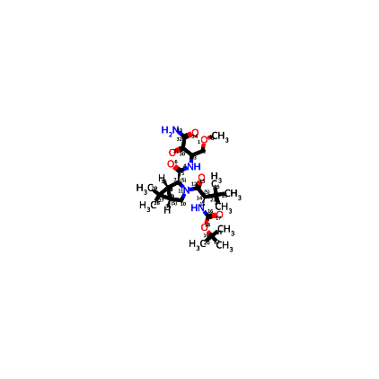 COCC(NC(=O)[C@@H]1[C@@H]2[C@H](CN1C(=O)[C@@H](NC(=O)OC(C)(C)C)C(C)(C)C)C2(C)C)C(=O)C(N)=O